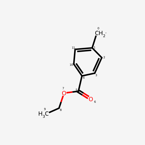 [CH2]c1ccc(C(=O)OCC)cc1